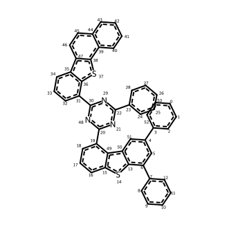 c1ccc(-c2cc(-c3ccccc3)c3sc4cccc(-c5nc(-c6ccccc6)nc(-c6cccc7c6sc6c8ccccc8ccc76)n5)c4c3c2)cc1